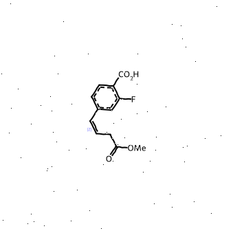 COC(=O)C/C=C\c1ccc(C(=O)O)c(F)c1